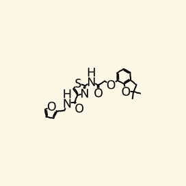 CC1(C)Cc2cccc(OCC(=O)Nc3nc(C(=O)NCc4ccco4)cs3)c2O1